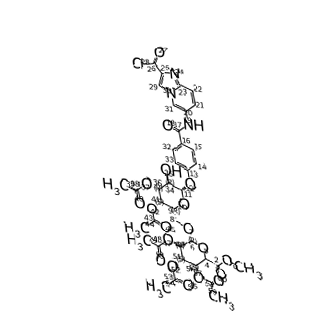 COC(=O)C1O[C@@H](OC[C@H]2OC(Oc3ccc(C(=O)Nc4ccc5nc(C(=O)Cl)cn5c4)cc3)[C@H](O)[C@@H](OC(C)=O)[C@H]2OC(C)=O)[C@H](OC(C)=O)[C@@H](OC(C)=O)[C@@H]1OC(C)=O